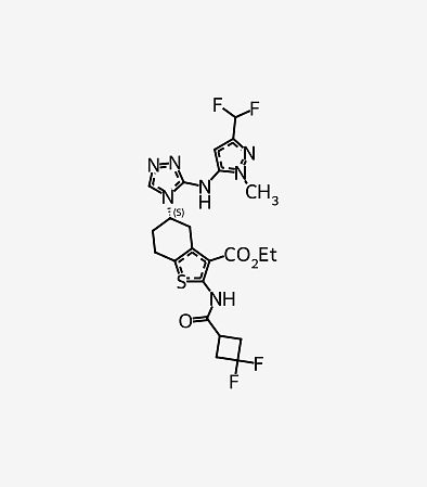 CCOC(=O)c1c(NC(=O)C2CC(F)(F)C2)sc2c1C[C@@H](n1cnnc1Nc1cc(C(F)F)nn1C)CC2